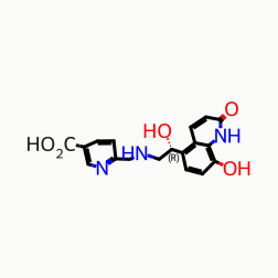 O=C(O)c1ccc(CNC[C@H](O)c2ccc(O)c3[nH]c(=O)ccc23)nc1